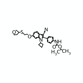 CC(C)OC(=O)Nc1ccc(-c2c(C#N)c3ccc(OCCSC4CCOC4)cc3n2C2CCC2)cc1